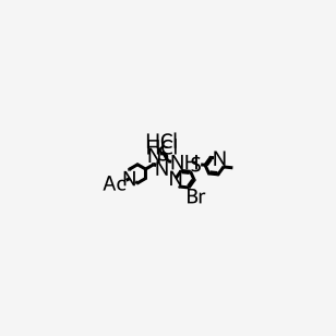 CC(=O)N1CCC(c2nsc(Nc3ncc(Br)cc3Sc3ccc(C)nc3)n2)CC1.Cl.Cl